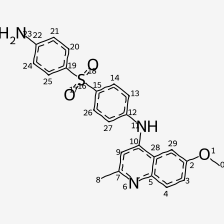 COc1ccc2nc(C)cc(Nc3ccc(S(=O)(=O)c4ccc(N)cc4)cc3)c2c1